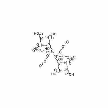 COCCOCCOCC(COCCOCCOC)N(CCN(CC(O)CN1CCN(CC(=O)O)CCN(CC(=O)O)CCN(CC(=O)O)CC1)C(COCCOCCOC)COCCOCCOC)CC(O)CN1CCN(CC(=O)O)CCN(CC(=O)O)CCN(CC(=O)O)CC1